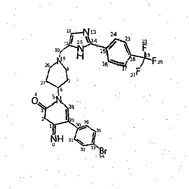 N=C1CC(=O)N(C2CCN(Cc3cnc(-c4ccc(C(F)(F)F)cc4)[nH]3)CC2)C=C1c1ccc(Br)cc1